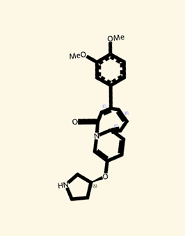 COc1ccc(C2=C\C(=O)N3C=C(O[C@H]4CCNC4)C=C\C3=C/C=C/2)cc1OC